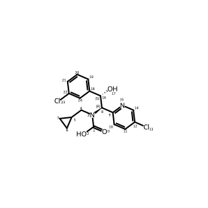 O=C(O)N(CC1CC1)[C@H](c1ccc(Cl)cn1)[C@@H](O)c1cccc(Cl)c1